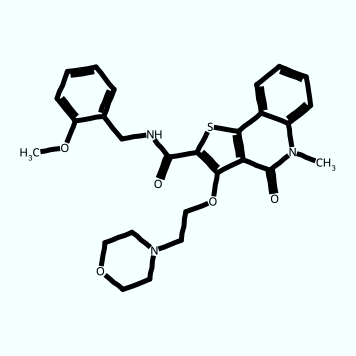 COc1ccccc1CNC(=O)c1sc2c(c1OCCN1CCOCC1)c(=O)n(C)c1ccccc21